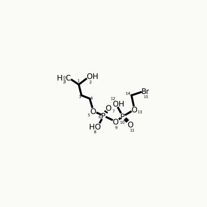 CC(O)CCOP(=O)(O)OP(=O)(O)OCBr